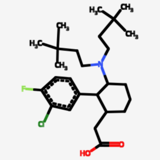 CC(C)(C)CCN(CCC(C)(C)C)C1CCCC(CC(=O)O)C1c1ccc(F)c(Cl)c1